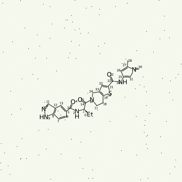 CC[C@@H](NC(=O)c1ccc2[nH]ncc2c1)C(=O)N1CCc2sc(C(=O)Nc3cc(C)n(C)c3)cc2C1